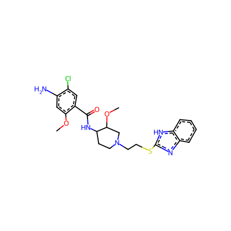 COc1cc(N)c(Cl)cc1C(=O)NC1CCN(CCSc2nc3ccccc3[nH]2)CC1OC